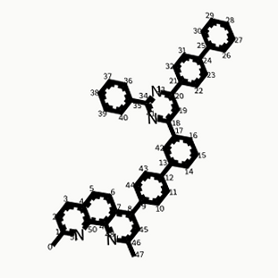 Cc1ccc2ccc3c(-c4ccc(-c5cccc(-c6cc(-c7ccc(-c8ccccc8)cc7)nc(-c7ccccc7)n6)c5)cc4)cc(C)nc3c2n1